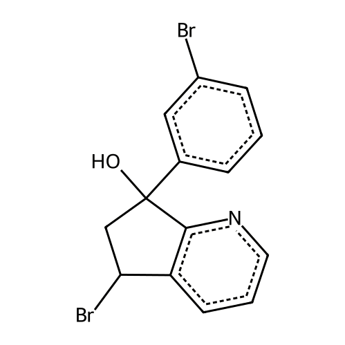 OC1(c2cccc(Br)c2)CC(Br)c2cccnc21